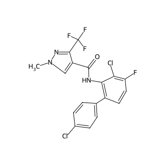 Cn1cc(C(=O)Nc2c(-c3ccc(Cl)cc3)ccc(F)c2Cl)c(C(F)(F)F)n1